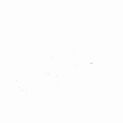 CN(c1nc(OC[C@@]23CCCN2C[C@H](F)C3)nc2c(F)c(-c3cccc4cccc(Cl)c34)ncc12)[C@@H]1CCN(C(=O)C#CC2CCN2)C1